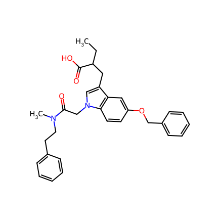 CCC(Cc1cn(CC(=O)N(C)CCc2ccccc2)c2ccc(OCc3ccccc3)cc12)C(=O)O